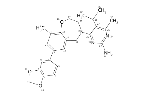 Cc1cc(-c2ccc3c(c2)OCO3)cc2c1OCCN(c1nc(N)nc(C)c1C(C)C)C2